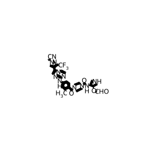 Cc1cc(Nc2nccn3c(-c4cn(CC#N)nc4C(F)(F)F)cnc23)ccc1C(=O)N1CCN(C(=O)N[C@@H]2CNC[C@H]2OC=O)CC1